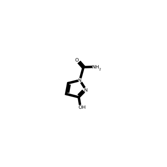 NC(=O)n1ccc(O)n1